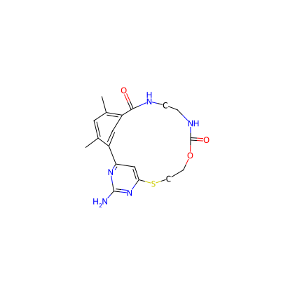 Cc1cc(C)c2cc1C(=O)NCCNC(=O)OCCSc1cc-2nc(N)n1